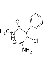 CNC(=O)C(c1ccccc1)C(Cl)C(N)=O